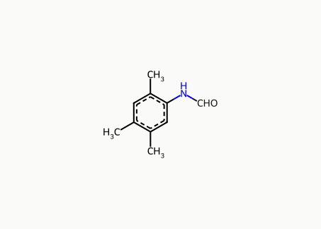 Cc1cc(C)c(NC=O)cc1C